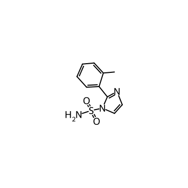 Cc1ccccc1-c1nccn1S(N)(=O)=O